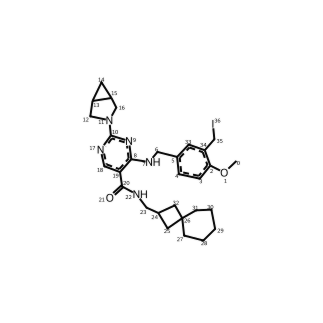 COc1ccc(CNc2nc(N3CC4CC4C3)ncc2C(=O)NCC2CC3(CCCCC3)C2)cc1CI